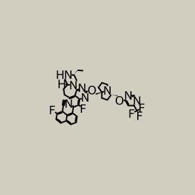 C#Cc1c(F)ccc2cccc(-c3nc4c5c(nc(OC[C@@]67CCCN6[C@H](COc6cc(C(F)(F)F)ncn6)CC7)nc5c3F)N3C[C@@H](CC)NC[C@H]3CC4)c12